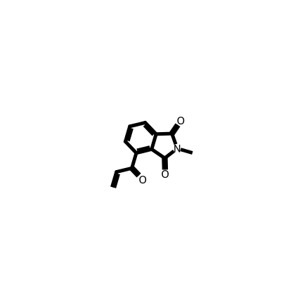 C=CC(=O)c1cccc2c1C(=O)N(C)C2=O